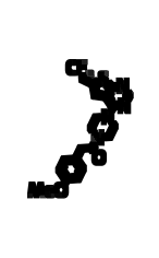 COc1ccc(CC(=O)N2CCN(c3ncnc4sc(CC(F)(F)F)cc34)CC2)cc1